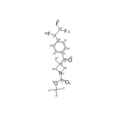 CC(C)(C)OC(=O)N1CC(C)(C(=O)c2ccc(C(F)C(F)F)cc2)C1